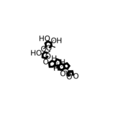 C[C@H]1O[C@@H](O[C@H]2[C@@H](O)C[C@H](O[C@H]3CC[C@@]4(C)[C@H](CC[C@@H]5[C@@H]4C[C@@H](O)[C@]4(C)[C@@H](C6=CC(=O)OC6)CC[C@]54O)C3)O[C@@H]2C)C[C@H](O)[C@@H]1O